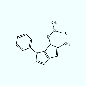 CC1=Cc2ccn(-c3ccccc3)c2C1O[SiH](C)C